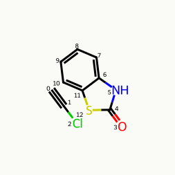 C#CCl.O=c1[nH]c2ccccc2s1